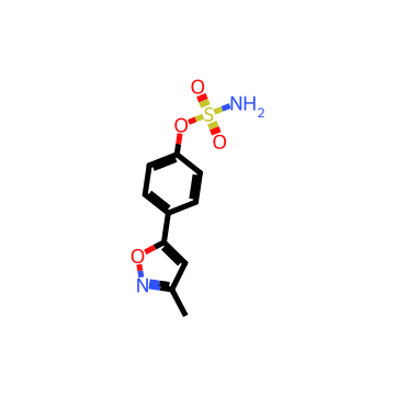 Cc1cc(-c2ccc(OS(N)(=O)=O)cc2)on1